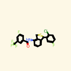 O=C(Nc1cccc2c1CSC2c1cc(F)ccc1Cl)c1cc(F)cc(C(F)(F)F)c1